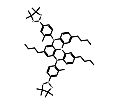 CCCCc1ccc2c(c1)B1c3cc(CCCC)ccc3N(c3ccc(B4OC(C)(C)C(C)(C)O4)cc3C)c3cc(CCCC)cc(c31)N2c1ccc(B2OC(C)(C)C(C)(C)O2)cc1C